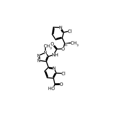 C[C@@H](OC(=O)Nc1c(-c2ccc(C(=O)O)c(Cl)n2)nnn1C)c1cccnc1Cl